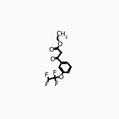 CCOC(=O)CC(=O)c1cccc(OC(F)(F)C(F)F)c1